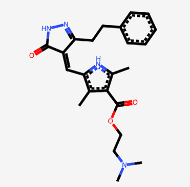 Cc1[nH]c(/C=C2/C(=O)NN=C2CCc2ccccc2)c(C)c1C(=O)OCCN(C)C